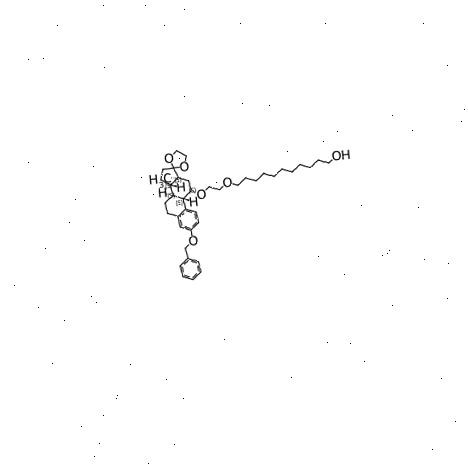 C[C@]12C[C@H](OCCOCCCCCCCCCCCO)[C@@H]3c4ccc(OCc5ccccc5)cc4CC[C@H]3[C@@H]1CCC21OCCO1